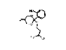 CN(C)CCOC1(c2ccccc2O)OCC(=O)CO1